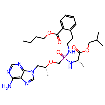 CCCCOC(=O)c1ccccc1CCN[P@](=O)(CO[C@H](C)Cn1cnc2c(N)ncnc21)N[C@@H](C)C(=O)OCC(C)C